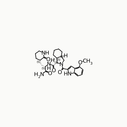 COc1cccc2[nH]c(C(=O)N3C[C@@H]4CCCC[C@@H]4[C@H]3C(=O)N[C@@H](C[C@@H]3CCCNC3=O)C(N)=O)cc12